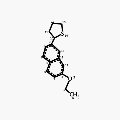 CCOc1ccc2ccc(C3CCCS3)cc2c1